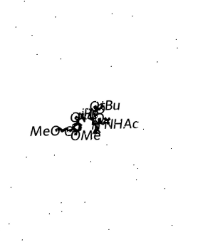 COCCCOc1cc(C(=O)N(C[C@@H]2CN(C(=O)OC(C)(C)C)C[C@H]2CN(C(=O)CC(C)(C)NC(C)=O)C2CC2)C(C)C)ccc1OC